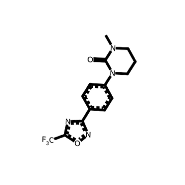 CN1CCCN(c2ccc(-c3noc(C(F)(F)F)n3)cc2)C1=O